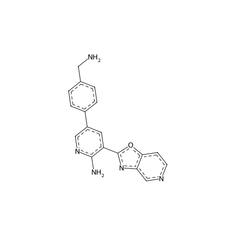 NCc1ccc(-c2cnc(N)c(-c3nc4cnccc4o3)c2)cc1